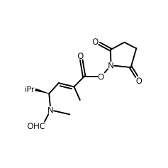 C/C(=C\[C@H](C(C)C)N(C)C=O)C(=O)ON1C(=O)CCC1=O